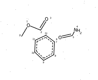 COC=O.NC=O.c1ccccc1